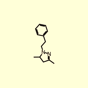 CC1=NN(CCc2ccccc2)C(C)C1